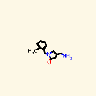 Cc1ccccc1CN1CC(CN)CC1=O